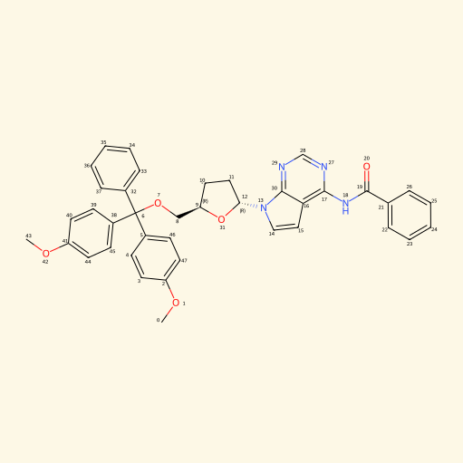 COc1ccc(C(OC[C@H]2[CH]C[C@H](n3ccc4c(NC(=O)c5ccccc5)ncnc43)O2)(c2ccccc2)c2ccc(OC)cc2)cc1